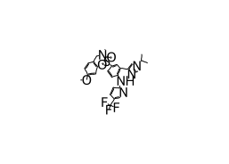 COc1ccc(CN(C)S(=O)(=O)c2ccc(Nc3ccc(C(F)(F)F)cn3)c(-c3cn(C(C)C)cn3)c2)cc1